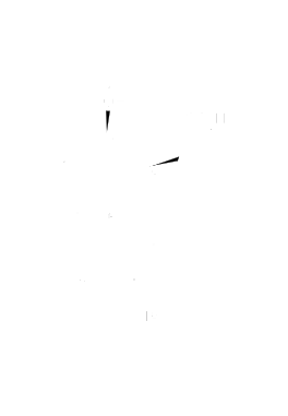 O=C(O)C[C@@H]1[C@H](O)CC[C@H]1C=C(Br)Br